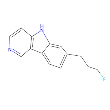 FCCCc1ccc2c(c1)[nH]c1ccncc12